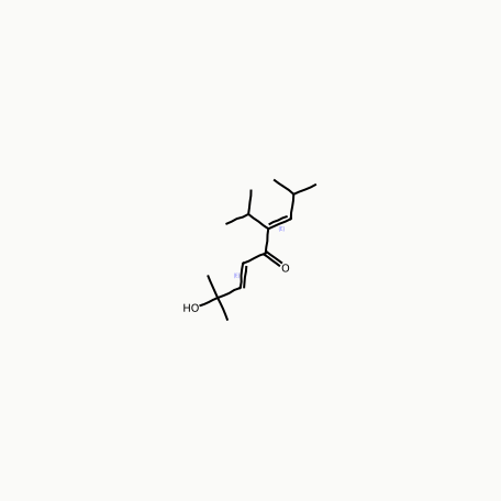 CC(C)/C=C(/C(=O)/C=C/C(C)(C)O)C(C)C